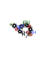 Cc1cccc(N(C(=O)Nc2ccc(F)cc2)C2CCN(Cc3ccc(Oc4ccc(NS(C)(=O)=O)cc4)cc3)CC2)c1.Cl